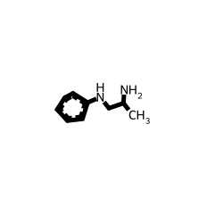 CC(N)CNc1ccccc1